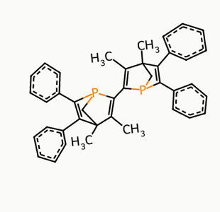 CC1=C(C2=C(C)C3(C)CP2C(c2ccccc2)=C3c2ccccc2)P2CC1(C)C(c1ccccc1)=C2c1ccccc1